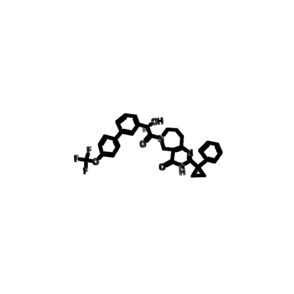 O=C([C@H](O)c1cccc(-c2ccc(OC(F)(F)F)cc2)c1)N1CCCc2nc(C3(c4ccccc4)CC3)[nH]c(=O)c2C1